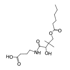 CCCCCC(=O)OCC(C)(C)C(O)C(=O)NCCCC(=O)O